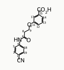 N#Cc1ccc(NC(=O)CCOc2cccc(C(=O)O)c2)cc1